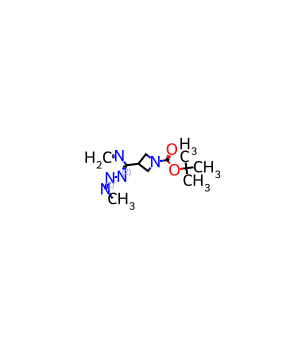 C=N/C(=N\N=N/C)C1CN(C(=O)OC(C)(C)C)C1